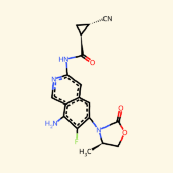 C[C@@H]1COC(=O)N1c1cc2cc(NC(=O)[C@H]3C[C@@H]3C#N)ncc2c(N)c1F